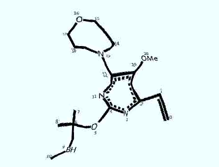 C=Cc1nc(OC(C)(C)BC)nc(N2CCOCC2)c1OC